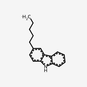 [CH2]CCCCc1ccc2[nH]c3ccccc3c2c1